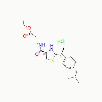 CCOC(=O)CCNC(=O)[C@@H]1CSC([C@@H](C)c2ccc(CC(C)C)cc2)N1.Cl